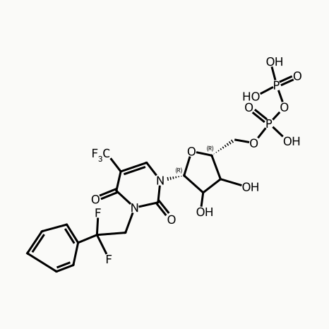 O=c1c(C(F)(F)F)cn([C@@H]2O[C@H](COP(=O)(O)OP(=O)(O)O)C(O)C2O)c(=O)n1CC(F)(F)c1ccccc1